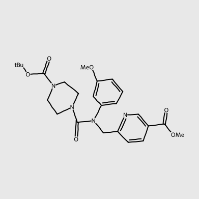 COC(=O)c1ccc(CN(C(=O)N2CCN(C(=O)OC(C)(C)C)CC2)c2cccc(OC)c2)nc1